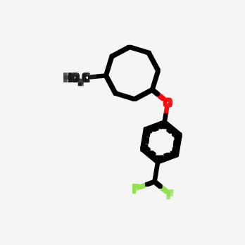 O=C(O)C1CCCCC(Oc2ccc(C(F)F)cc2)CC1